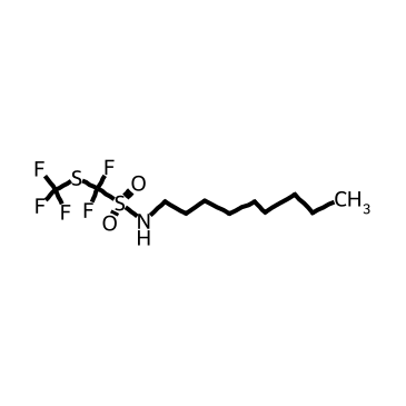 CCCCCCCCCNS(=O)(=O)C(F)(F)SC(F)(F)F